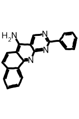 Nc1c2cnc(-c3ccccc3)nc2nc2c1ccc1ccccc12